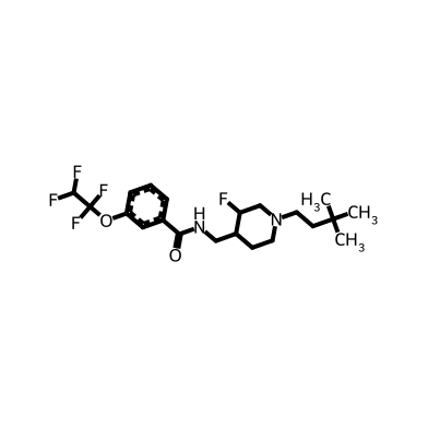 CC(C)(C)CCN1CCC(CNC(=O)c2cccc(OC(F)(F)C(F)F)c2)C(F)C1